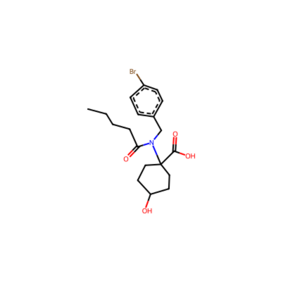 CCCCC(=O)N(Cc1ccc(Br)cc1)C1(C(=O)O)CCC(O)CC1